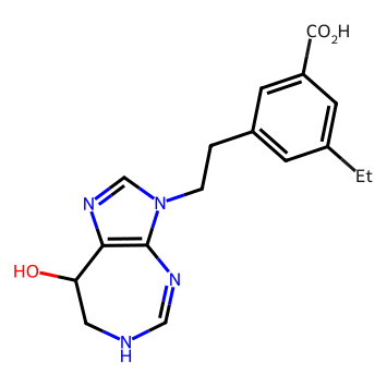 CCc1cc(CCn2cnc3c2N=CNCC3O)cc(C(=O)O)c1